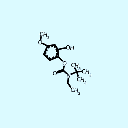 CCN(C(=O)Oc1ccc(OC)cc1O)C(C)(C)C